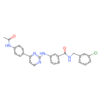 CC(=O)Nc1ccc(-c2ccnc(Nc3cccc(C(=O)NCc4cccc(Cl)c4)c3)n2)cc1